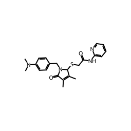 CC1=C(C)C(SCC(=O)Nc2ccccn2)N(Cc2ccc(N(C)C)cc2)C1=O